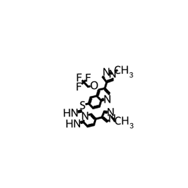 Cn1cc(-c2ccc(=N)n(C(=N)Sc3ccc4ncc(-c5cnn(C)c5)c(OCC(F)(F)F)c4c3)c2)cn1